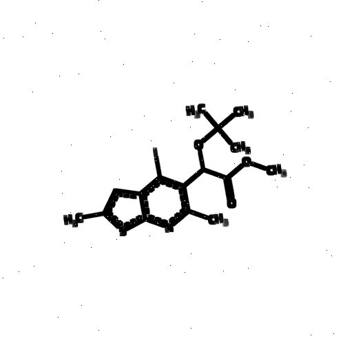 COC(=O)C(OC(C)(C)C)c1c(C)nc2sc(C)cc2c1I